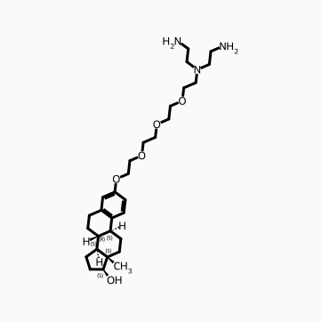 C[C@]12CC[C@@H]3c4ccc(OCCOCCOCCOCCN(CCN)CCN)cc4CC[C@H]3[C@@H]1CC[C@@H]2O